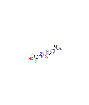 CN(C)c1ccc(CNC(=O)c2nc(-c3cc(Cl)c(O)c(Cl)c3)no2)cc1